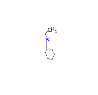 CC[N]CC1CCCCC1